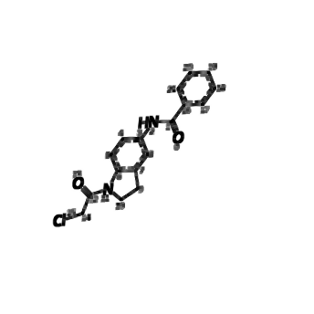 O=C(Nc1ccc2c(c1)CCN2C(=O)CCl)c1ccccc1